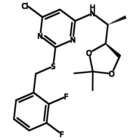 C[C@@H](Nc1cc(Cl)nc(SCc2cccc(F)c2F)n1)[C@H]1COC(C)(C)O1